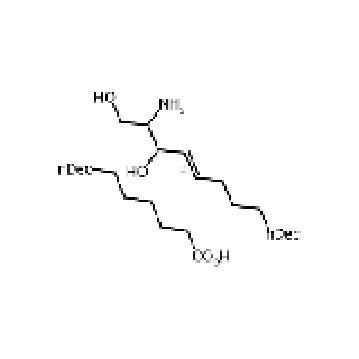 CCCCCCCCCCCCC/C=C/C(O)C(N)CO.CCCCCCCCCCCCCCCC(=O)O